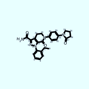 CCc1ccccc1-n1nc(C(N)=O)c2c1C(=O)N(c1ccc(N3CCCC3=O)cc1)CC2